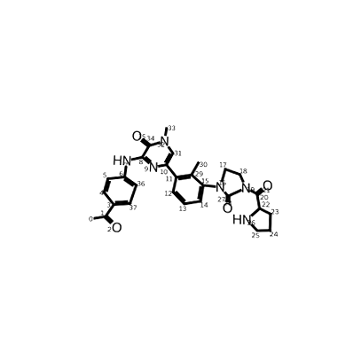 CC(=O)c1ccc(Nc2nc(-c3cccc(N4CCN(C(=O)C5CCCN5)C4=O)c3C)cn(C)c2=O)cc1